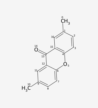 Cc1ccc2oc3ccc(C)cc3c(=O)c2c1